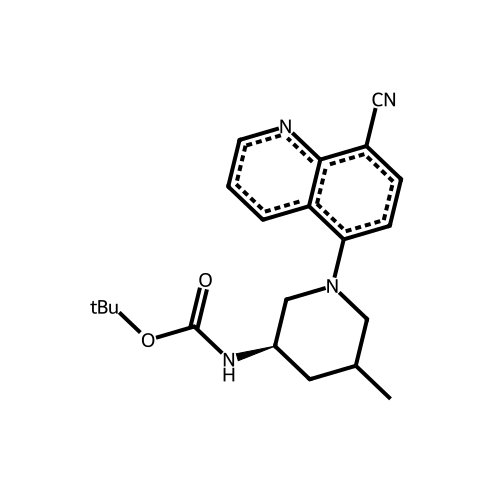 CC1C[C@@H](NC(=O)OC(C)(C)C)CN(c2ccc(C#N)c3ncccc23)C1